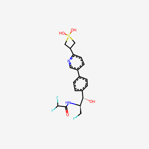 O=C(N[C@H](CF)[C@@H](O)c1ccc(-c2ccc(C3CS(O)(O)C3)nc2)cc1)C(F)F